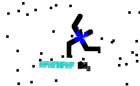 B.CC[N+](C)(CC)CC.F.F.F.F